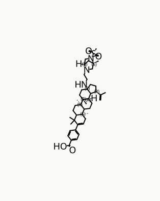 C=C(C)[C@@H]1CC[C@]2(NCCN3C[C@]4(C)C[C@H]3CN4S(C)(=O)=O)CC[C@]3(C)[C@H](CCC4[C@@]5(C)CC=C(c6ccc(C(=O)O)cc6)C(C)(C)C5CC[C@]43C)C12